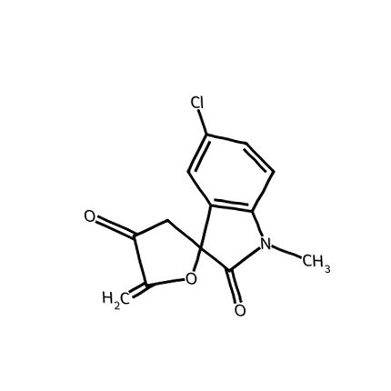 C=C1OC2(CC1=O)C(=O)N(C)c1ccc(Cl)cc12